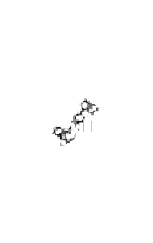 O=C(CNc1ccc(-c2cccc3c2C=CCC3)cc1)c1ccccc1Br